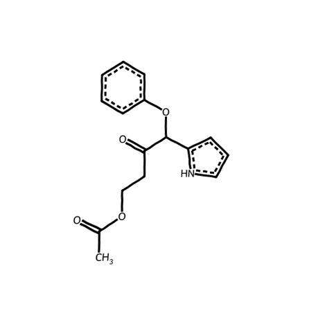 CC(=O)OCCC(=O)C(Oc1ccccc1)c1ccc[nH]1